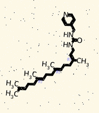 CC(C)=CCC/C(C)=C/CC/C(C)=C/CC/C(C)=C/CNC(=O)NCc1ccncc1